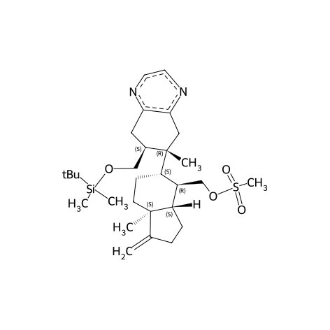 C=C1CC[C@H]2[C@H](COS(C)(=O)=O)[C@@H]([C@@]3(C)Cc4nccnc4C[C@@H]3CO[Si](C)(C)C(C)(C)C)CC[C@]12C